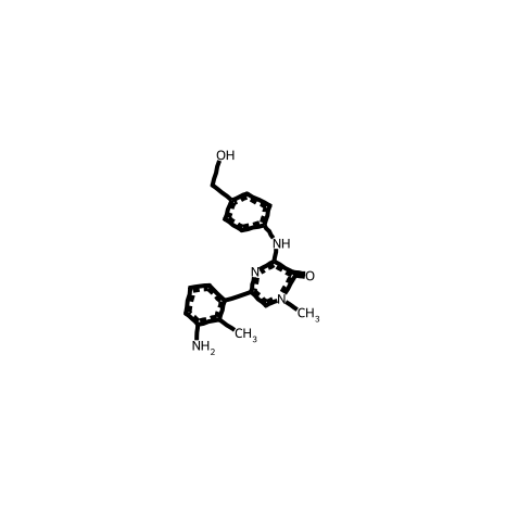 Cc1c(N)cccc1-c1cn(C)c(=O)c(Nc2ccc(CO)cc2)n1